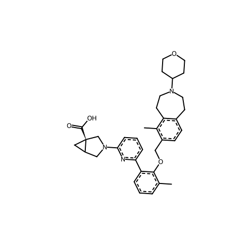 Cc1cccc(-c2cccc(N3CC4C[C@]4(C(=O)O)C3)n2)c1OCc1ccc2c(c1C)CCN(C1CCOCC1)CC2